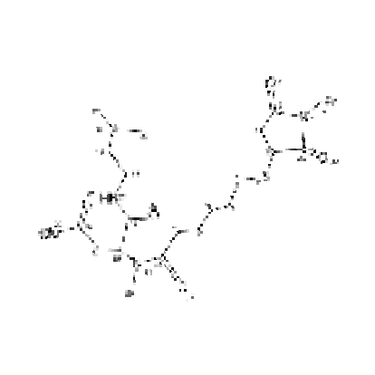 CC(C)N1C(=O)CC(SCCCCCC(=O)N(C)C(CC(=O)C(C)(C)C)C(=O)NCCN(C)C)C1=O